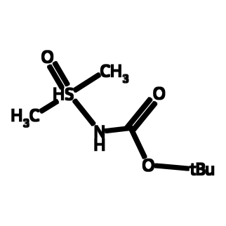 CC(C)(C)OC(=O)N[SH](C)(C)=O